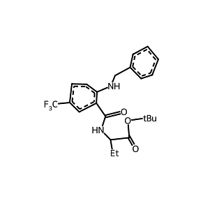 CCC(NC(=O)c1cc(C(F)(F)F)ccc1NCc1ccccc1)C(=O)OC(C)(C)C